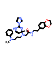 CN(CCCN(CC(=O)NCCc1ccc2c(c1)OCCO2)C1(C)C=CNC(n2ccnc2)=N1)c1ccccc1